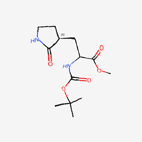 COC(=O)C(C[C@@H]1CCNC1=O)NC(=O)OC(C)(C)C